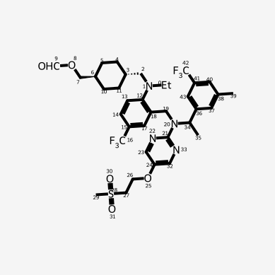 CCN(C[C@H]1CC[C@H](COC=O)CC1)c1ccc(C(F)(F)F)cc1CN(c1ncc(OCCS(C)(=O)=O)cn1)C(C)c1cc(C)cc(C(F)(F)F)c1